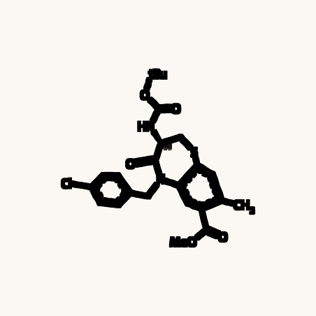 COC(=O)c1cc2c(cc1C)SC[C@H](NC(=O)OC(C)(C)C)C(=O)N2Cc1ccc(Cl)cc1